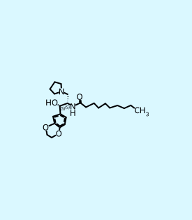 CCCCCCCCCC(=O)N[C@@H](CN1CCCC1)[C@@H](O)c1ccc2c(c1)OCCO2